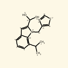 CC(C)c1cccc2cc(C(O)O)n(Cc3cscn3)c12